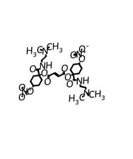 CN(C)CCNC(=O)C1(OC(=O)/C=C/C(=O)OC2(C(=O)NCCN(C)C)CCC(O[N+](=O)[O-])CC2)CCC(O[N+](=O)[O-])CC1